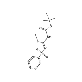 CSC(=NS(=O)(=O)c1ccccc1)NC(=O)OC(C)(C)C